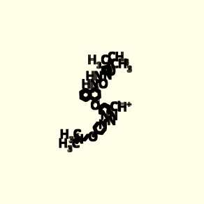 CN(C)CCOC1CCN(c2nnc3ccc(O[C@@H]4CC[C@H](NC(=O)Nc5cc(C(C)(C)C)on5)c5ccccc54)cn23)CC1.[Cl-].[H+]